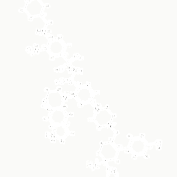 CC1(C)CCC(CN2CCN(c3ccc(C(=O)NS(=O)(=O)c4ccc(NCC5CCOCC5)c([N+](=O)[O-])c4)c(N4CCOc5cc6[nH]ccc6cc54)c3)CC2)=C(c2ccc(Cl)cc2)C1